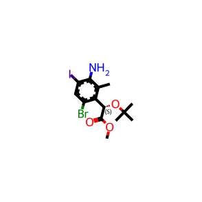 COC(=O)[C@@H](OC(C)(C)C)c1c(Br)cc(I)c(N)c1C